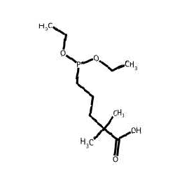 CCOP(CCCC(C)(C)C(=O)O)OCC